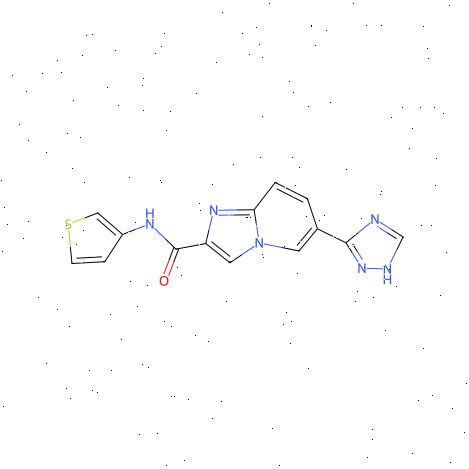 O=C(Nc1ccsc1)c1cn2cc(-c3nc[nH]n3)ccc2n1